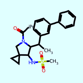 CC(C)C(=O)N1CC2(CC2)C(NS(C)(=O)=O)C1C(C)c1cccc(-c2ccccc2)c1